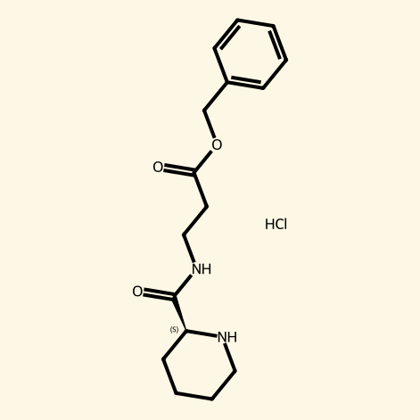 Cl.O=C(CCNC(=O)[C@@H]1CCCCN1)OCc1ccccc1